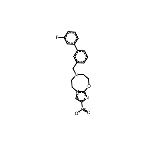 O=[N+]([O-])c1cn2c(n1)OCCN(Cc1cccc(-c3cccc(F)c3)c1)CC2